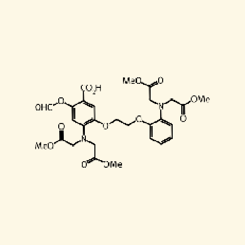 COC(=O)CN(CC(=O)OC)c1ccccc1OCCOc1cc(C(=O)O)c(OC=O)cc1N(CC(=O)OC)CC(=O)OC